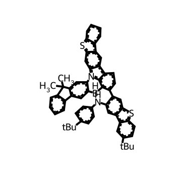 CC(C)(C)c1ccc(Nc2cc3c(cc2-c2ccc4c5cc6c(cc5n5c4c2Bc2cc4c(cc2-5)C(C)(C)c2ccccc2-4)sc2ccccc26)sc2ccc(C(C)(C)C)cc23)cc1